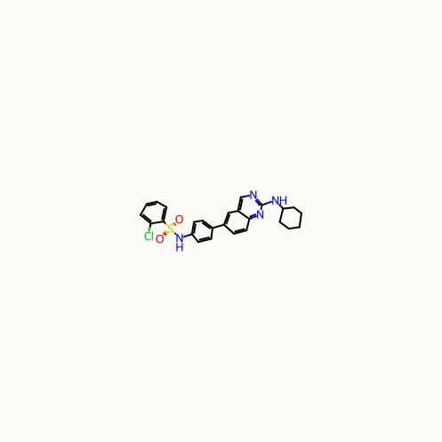 O=S(=O)(Nc1ccc(-c2ccc3nc(NC4CCCCC4)ncc3c2)cc1)c1ccccc1Cl